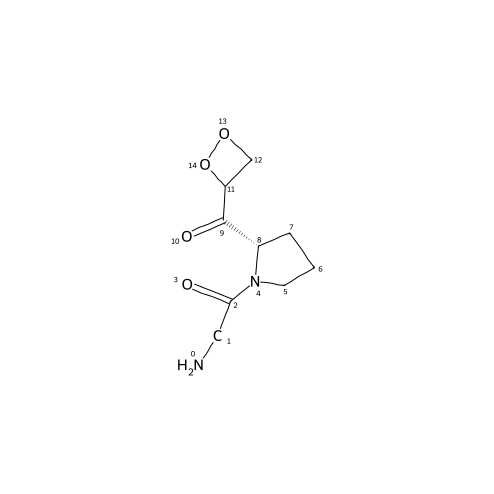 NCC(=O)N1CCC[C@H]1C(=O)C1COO1